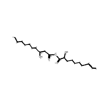 CCCCCCCCC(O)C(=O)OC(=O)CC(O)CCCCCCC